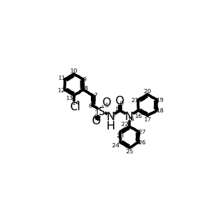 O=C(NS(=O)(=O)/C=C/c1ccccc1Cl)N(c1ccccc1)c1ccccc1